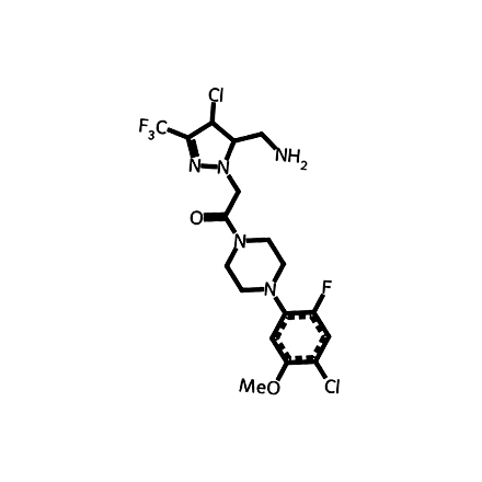 COc1cc(N2CCN(C(=O)CN3N=C(C(F)(F)F)C(Cl)C3CN)CC2)c(F)cc1Cl